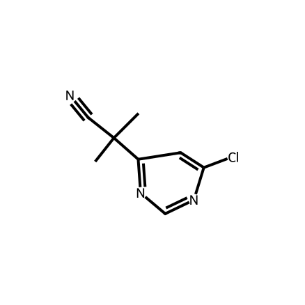 CC(C)(C#N)c1cc(Cl)ncn1